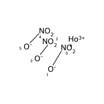 O=[N+]([O-])[O-].O=[N+]([O-])[O-].O=[N+]([O-])[O-].[Ho+3]